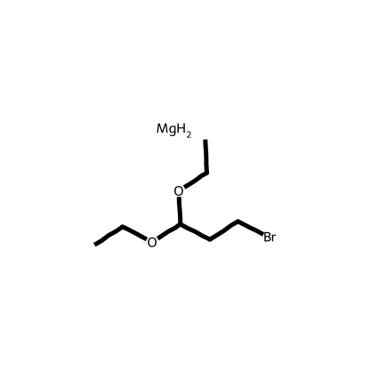 CCOC(CCBr)OCC.[MgH2]